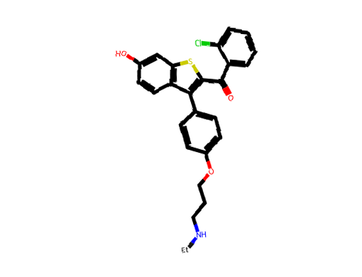 CCNCCCOc1ccc(-c2c(C(=O)c3ccccc3Cl)sc3cc(O)ccc23)cc1